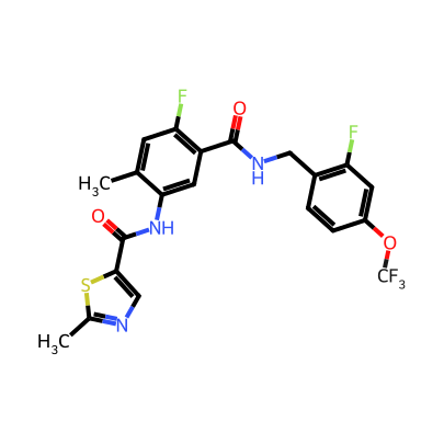 Cc1ncc(C(=O)Nc2cc(C(=O)NCc3ccc(OC(F)(F)F)cc3F)c(F)cc2C)s1